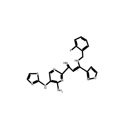 N=C(/C=C(\NCc1ccccc1F)c1ccon1)c1ncc(Nc2nccs2)c(N)n1